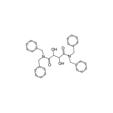 O=C(C(O)C(O)C(=O)N(Cc1ccccc1)Cc1ccccc1)N(Cc1ccccc1)Cc1ccccc1